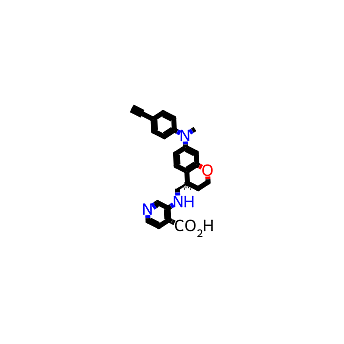 C#Cc1ccc(N(C)c2ccc3c(c2)OCC[C@H]3CNc2cnccc2C(=O)O)cc1